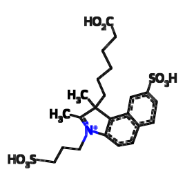 CC1=[N+](CCCS(=O)(=O)O)c2ccc3ccc(S(=O)(=O)O)cc3c2C1(C)CCCCCC(=O)O